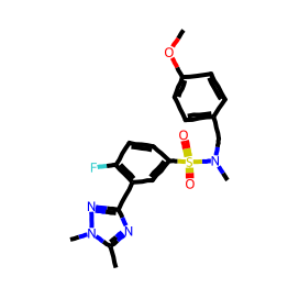 COc1ccc(CN(C)S(=O)(=O)c2ccc(F)c(-c3nc(C)n(C)n3)c2)cc1